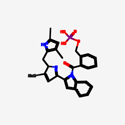 COC1=CC(c2cc3ccccc3n2C(=O)c2ccccc2COP(=O)(O)O)=NC1Cc1[nH]c(C)cc1C